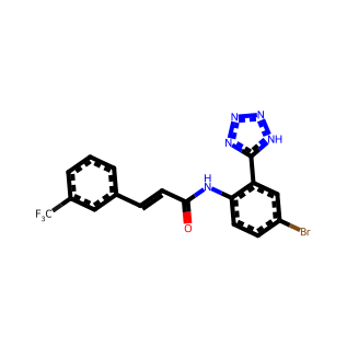 O=C(/C=C/c1cccc(C(F)(F)F)c1)Nc1ccc(Br)cc1-c1nnn[nH]1